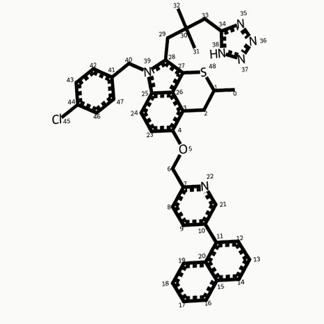 CC1Cc2c(OCc3ccc(-c4cccc5ccccc45)cn3)ccc3c2c(c(CC(C)(C)Cc2nnn[nH]2)n3Cc2ccc(Cl)cc2)S1